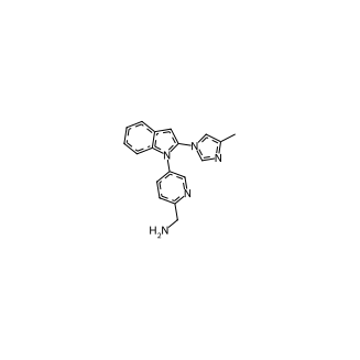 Cc1cn(-c2cc3ccccc3n2-c2ccc(CN)nc2)cn1